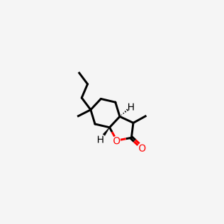 CCCC1(C)CC[C@H]2C(C)C(=O)O[C@@H]2C1